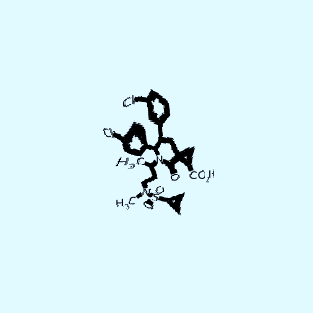 CC(CCN(C)S(=O)(=O)C1CC1)N1C(=O)C2(CC(c3cccc(Cl)c3)C1c1ccc(Cl)cc1)CC2C(=O)O